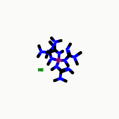 CN=C(N(C)C)N(C)[PH](N(C)C(=NC)N(C)C)(N(C)C(=NC)N(C)C)N(C)C(=NC)N(C)C.Cl